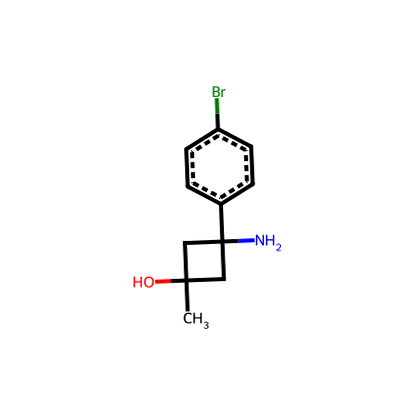 CC1(O)CC(N)(c2ccc(Br)cc2)C1